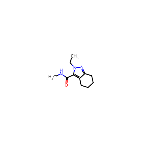 CCn1nc2c(c1C(=O)NC)CCCC2